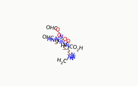 C=CCn1nnnc1SCC1=C(C(=O)O)N2C(=O)C(NC(=O)/C(=N/OCCOC=O)c3csc(NC=O)n3)[C@H]2SC1